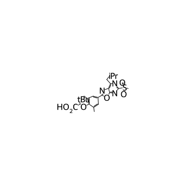 Cc1cc(-c2nc3c(CC(C)C)nc(S(C)(=O)=O)nc3o2)cc(C)c1OC(C(=O)O)C(C)(C)C